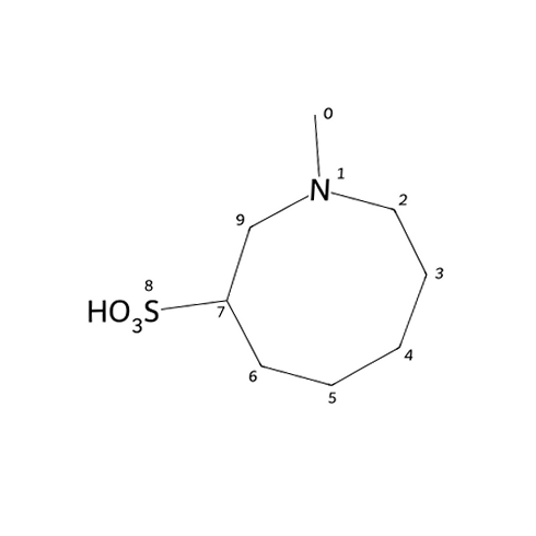 CN1CCCCCC(S(=O)(=O)O)C1